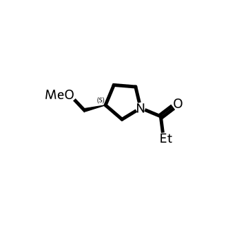 CCC(=O)N1CC[C@H](COC)C1